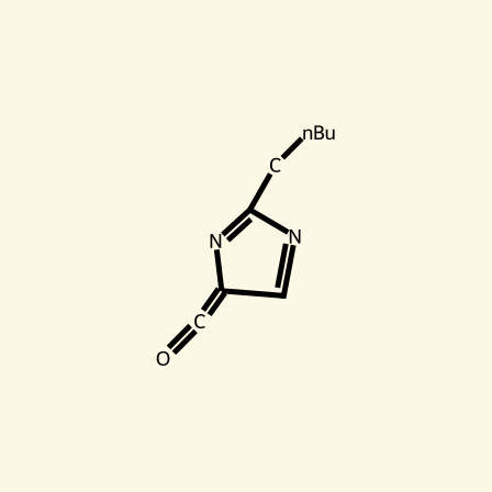 CCCCCC1=NC(=C=O)C=N1